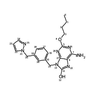 CCCCOc1nc(N)c2nc(O)n(Cc3cccc(Cn4cccn4)c3)c2n1